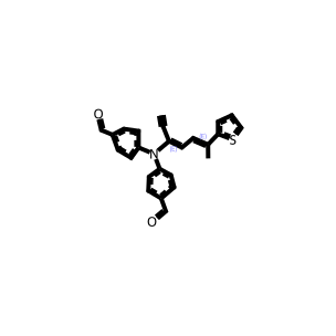 C#C/C(=C\C=C(/C)c1cccs1)N(c1ccc(C=O)cc1)c1ccc(C=O)cc1